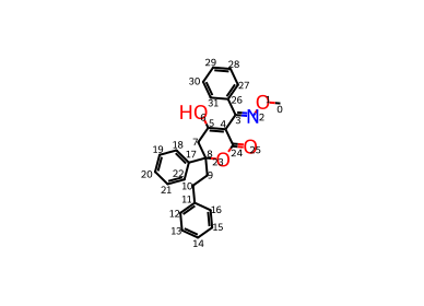 CO/N=C(/C1=C(O)CC(CCc2ccccc2)(c2ccccc2)OC1=O)c1ccccc1